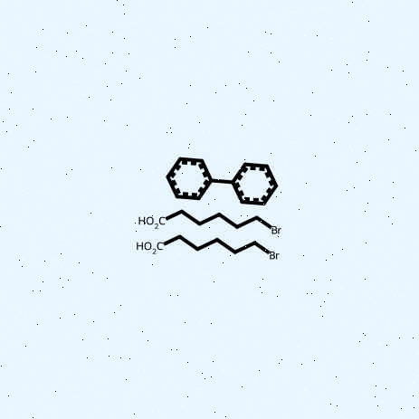 O=C(O)CCCCCBr.O=C(O)CCCCCBr.c1ccc(-c2ccccc2)cc1